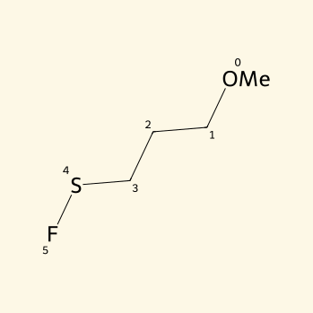 COCCCSF